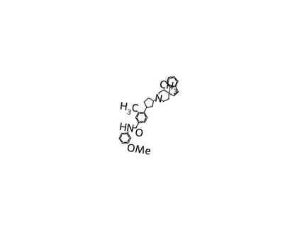 COc1cccc(NC(=O)c2ccc(C3CCC(N4CCC5(C=Cc6ccccc65)[C@@H](C)C4)C3)c(C)c2)c1